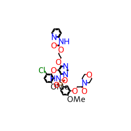 COc1ccc(Cl)c(Oc2c(NS(=O)(=O)c3ccc(OC)c(OCC(=O)N4CCOCC4)c3)ncnc2OCCOC(=O)Nc2ccccn2)c1